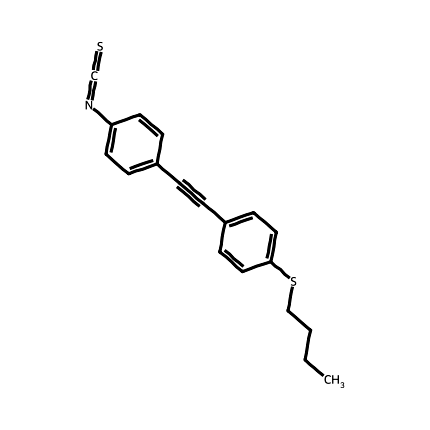 CCCCSc1ccc(C#Cc2ccc(N=C=S)cc2)cc1